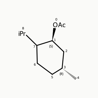 CC(=O)O[C@H]1C[C@H](C)CCC1C(C)C